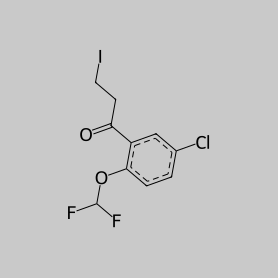 O=C(CCI)c1cc(Cl)ccc1OC(F)F